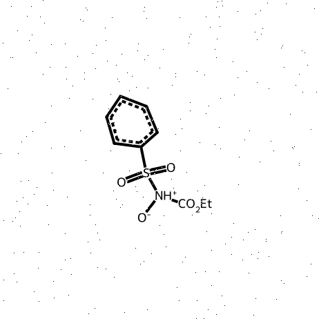 CCOC(=O)[NH+]([O-])S(=O)(=O)c1ccccc1